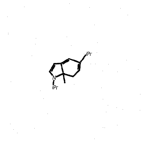 CC(C)C1=CCC2(C)C(=C1)C=CN2C(C)C